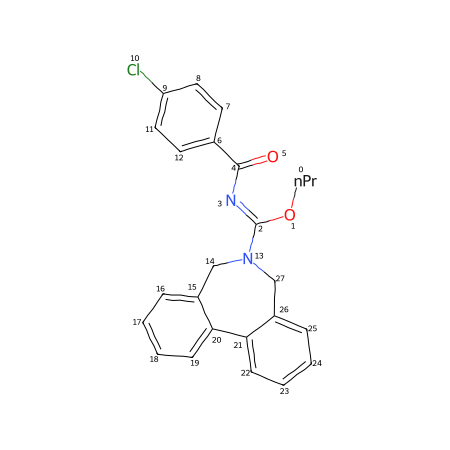 CCCO/C(=N\C(=O)c1ccc(Cl)cc1)N1Cc2ccccc2-c2ccccc2C1